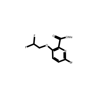 COC(=O)c1nc(Br)ccc1OCC(F)F